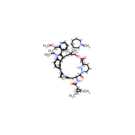 CCn1c(-c2cc([C@@H]3CCCN(C)CC3)cnc2[C@H](C)OC)c2c3cc(ccc31)-c1csc(n1)C[C@H](NC(=O)[C@H]1[C@H](C)[C@@H]1C)C(=O)N1CCC[C@H](N1)C(=O)OCC(C)(C)C2